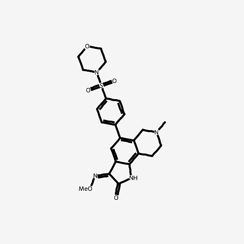 CON=C1C(=O)Nc2c1cc(-c1ccc(S(=O)(=O)N3CCOCC3)cc1)c1c2CCN(C)C1